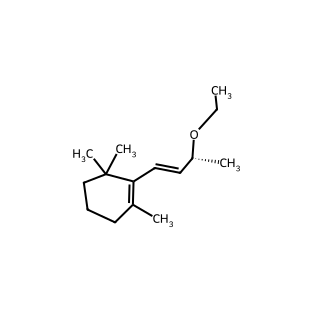 CCO[C@H](C)/C=C/C1=C(C)CCCC1(C)C